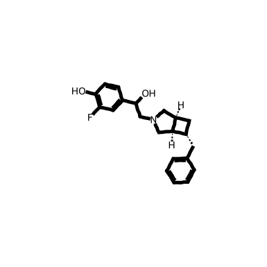 Oc1ccc(C(O)CN2C[C@H]3C[C@H](Cc4ccccc4)[C@H]3C2)cc1F